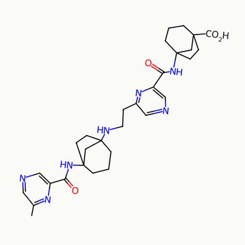 Cc1cncc(C(=O)NC23CCCC(NCCc4cncc(C(=O)NC56CCCC(C(=O)O)(CC5)C6)n4)(CC2)C3)n1